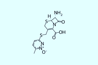 Cc1ccc(SCC2=C(C(=O)O)N3C(=O)[C@@H](N)[C@@H]3SC2)n[n+]1[O-]